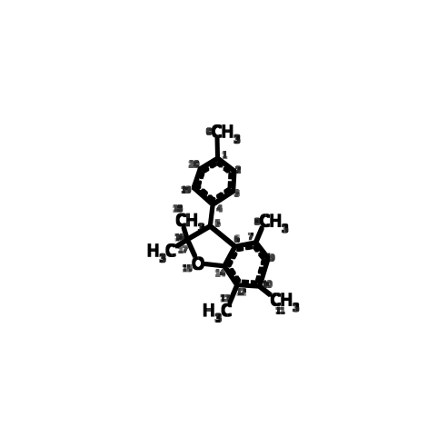 Cc1ccc(C2c3c(C)[c]c(C)c(C)c3OC2(C)C)cc1